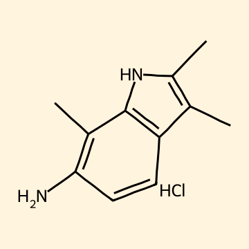 Cc1[nH]c2c(C)c(N)ccc2c1C.Cl